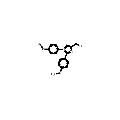 CC(C)Oc1ccc(-n2cc(CCl)nc2-c2ccc(OC(F)(F)F)cc2)cc1